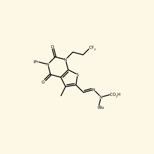 Cc1c(C=NN(C(=O)O)C(C)(C)C)sc2c1c(=O)n(C(C)C)c(=O)n2CCC(F)(F)F